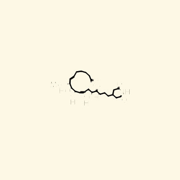 CO[C@H]1/C=C/CCCCC(=O)O[C@H]([C@H](C)C(=O)CCCC2CC(=O)NC(=O)C2)/C(C)=C\[C@@H](C)[C@@H]1O